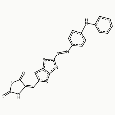 O=C1SC(=S)N/C1=C/c1cc2sc(/N=N/c3ccc(Nc4ccccc4)cc3)nc2s1